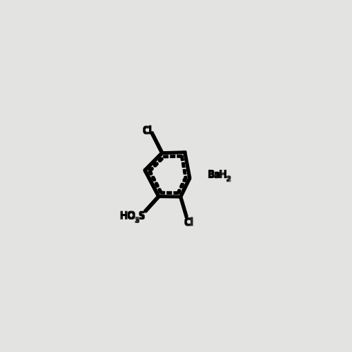 O=S(=O)(O)c1cc(Cl)ccc1Cl.[BaH2]